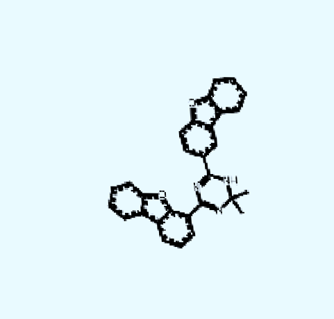 CC1(C)N=C(c2cccc3c2oc2ccccc23)N=C(c2ccc3oc4ccccc4c3c2)N1